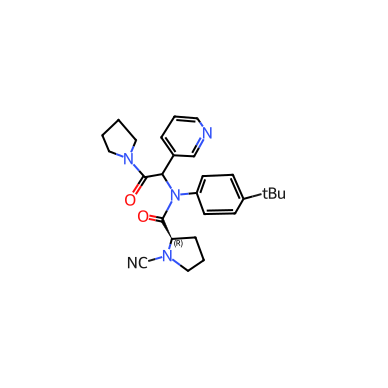 CC(C)(C)c1ccc(N(C(=O)[C@H]2CCCN2C#N)C(C(=O)N2CCCC2)c2cccnc2)cc1